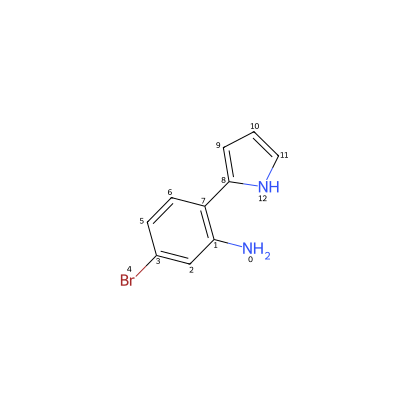 Nc1cc(Br)ccc1-c1ccc[nH]1